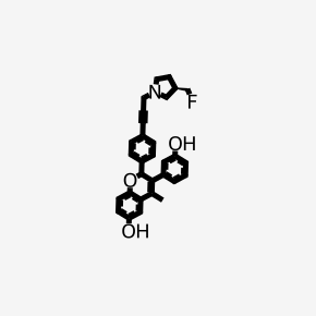 CC1=C(c2cccc(O)c2)C(c2ccc(C#CCN3CC[C@@H](CF)C3)cc2)Oc2ccc(O)cc21